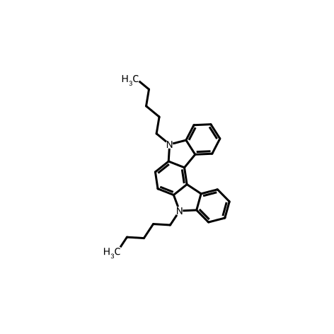 CCCCCn1c2ccccc2c2c3c4ccccc4n(CCCCC)c3ccc21